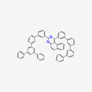 c1ccc(-c2cccc(-c3cccc(-c4cccc(-c5nc(-c6cccc(-c7cccc(-c8cc(-c9ccccc9)cc(-c9ccccc9)c8)c7)c6)nc6ccc7ccccc7c56)c4)c3)c2)cc1